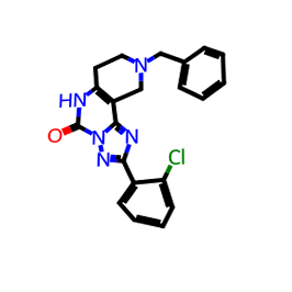 O=c1[nH]c2c(c3nc(-c4ccccc4Cl)nn13)CN(Cc1ccccc1)CC2